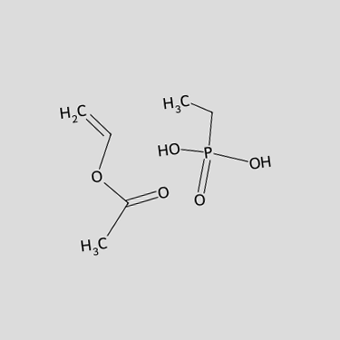 C=COC(C)=O.CCP(=O)(O)O